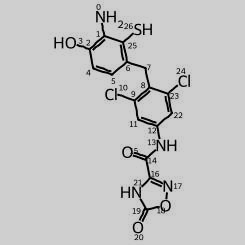 Nc1c(O)ccc(Cc2c(Cl)cc(NC(=O)c3noc(=O)[nH]3)cc2Cl)c1S